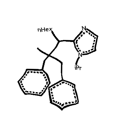 CCCCCCC(c1nccn1C(C)C)C(C)(Cc1ccccc1)c1ccccc1